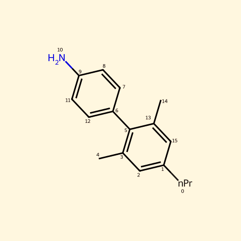 CCCc1cc(C)c(-c2ccc(N)cc2)c(C)c1